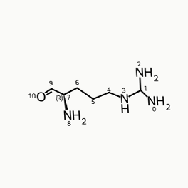 NC(N)NCCC[C@@H](N)C=O